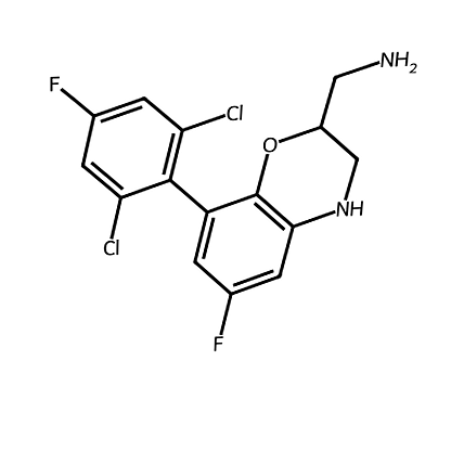 NCC1CNc2cc(F)cc(-c3c(Cl)cc(F)cc3Cl)c2O1